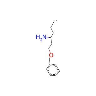 [CH2]CCC(N)CCOCc1ccccc1